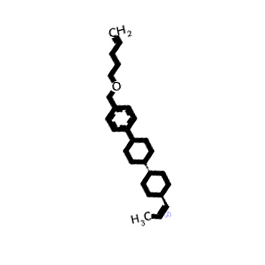 C=CCCCOCc1ccc(C2CCC([C@H]3CC[C@H](/C=C\C)CC3)CC2)cc1